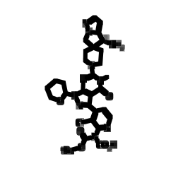 Cn1c(N2CCC3(CC2)Cn2nccc2[C@H]3N)nc2c(c(-c3ccnc(N(C(=O)O)C(=O)OC(C)(C)C)c3Cl)nn2C2CCCCO2)c1=O